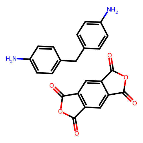 Nc1ccc(Cc2ccc(N)cc2)cc1.O=c1oc(=O)c2cc3c(=O)oc(=O)c3cc12